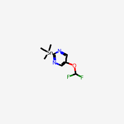 [CH3][Sn]([CH3])([CH3])[c]1ncc(OC(F)F)cn1